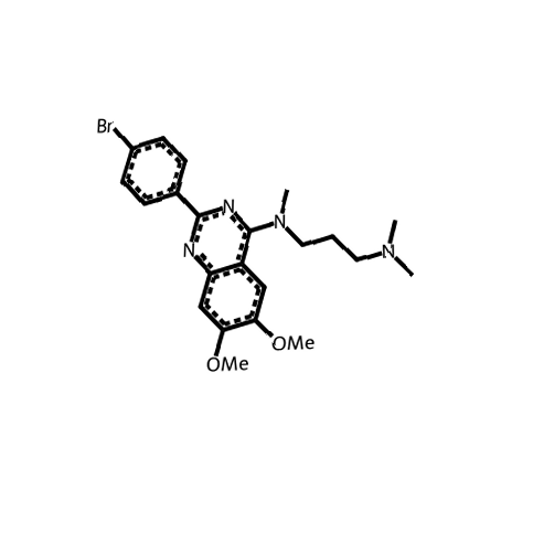 COc1cc2nc(-c3ccc(Br)cc3)nc(N(C)CCCN(C)C)c2cc1OC